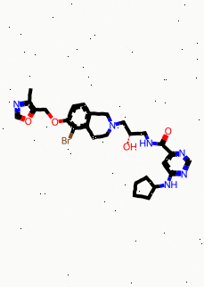 Cc1ncoc1COc1ccc2c(c1Br)CCN(C[C@@H](O)CNC(=O)c1cc(NC3CCCC3)ncn1)C2